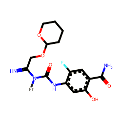 CCN(C(=N)COC1CCCCO1)C(=O)Nc1cc(O)c(C(N)=O)cc1F